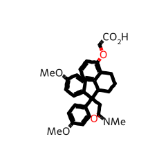 CNC(=O)CC(c1ccc(OC)cc1)(c1ccc(OC)cc1)C1CCCc2c(OCC(=O)O)cccc21